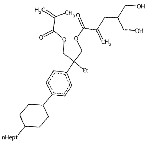 C=C(C)C(=O)OCC(CC)(COC(=O)C(=C)CC(CO)CO)c1ccc(C2CCC(CCCCCCC)CC2)cc1